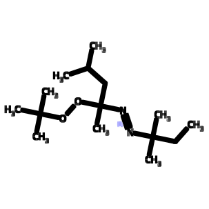 CCC(C)(C)/N=N/C(C)(CC(C)C)OOC(C)(C)C